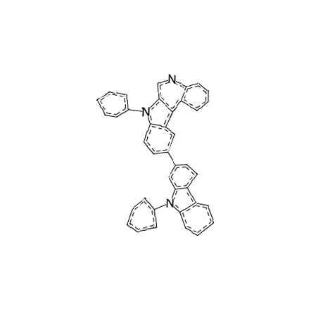 c1ccc(-n2c3ccccc3c3ccc(-c4ccc5c(c4)c4c6ccccc6ncc4n5-c4ccccc4)cc32)cc1